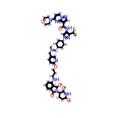 CN(Cc1ccc(OCCCNc2cccc3c2C(=O)N(C2CCC(=O)NC2=O)C3=O)nc1)C[C@H]1CC[C@H](n2cc(NC(=O)c3cnn4ccc(N5CCOCC5)nc34)c(C(F)F)n2)CC1